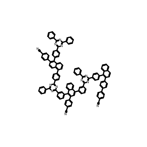 N#Cc1ccc(-c2ccc(-c3ccc4ccccc4c3-c3ccc(-c4nc(-c5ccccc5)nc(-c5cccc(-c6cc(-c7ccc(C#N)cc7)c(-c7cccc(-c8nc(-c9ccccc9)nc(-c9ccc(-c%10cccc%11c(-c%12ccc(-c%13nc(-c%14ccccc%14)nc(-c%14ccccc%14)n%13)cc%12)c(-c%12ccc(C#N)cc%12)ccc%10%11)cc9)n8)c7)c7ccccc67)c5)n4)cc3)cc2)cc1